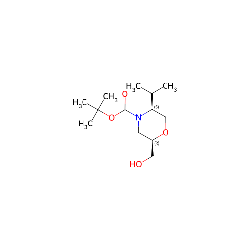 CC(C)[C@H]1CO[C@@H](CO)CN1C(=O)OC(C)(C)C